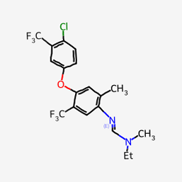 CCN(C)/C=N/c1cc(C(F)(F)F)c(Oc2ccc(Cl)c(C(F)(F)F)c2)cc1C